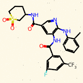 Cc1ccccc1Nc1ncc(C(=O)NC2CCCS(=O)(=O)C2)cc1NC(=O)c1cc(F)cc(C(F)(F)F)c1